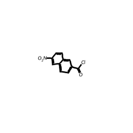 O=C(Cl)c1ccc2cc([N+](=O)[O-])ccc2c1